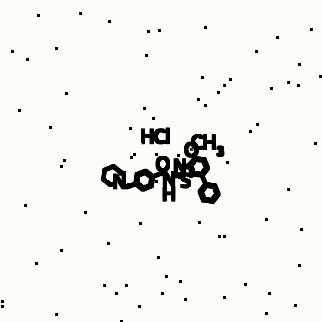 COc1ccc(-c2ccccc2)c2sc(NC(=O)c3ccc(CN4CCCCC4)cc3)nc12.Cl